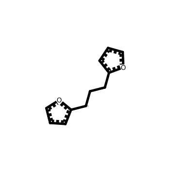 [CH](CCc1ccco1)c1ccco1